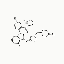 CC(=O)N1CCC(CN2CC[C@@H](Cc3cn(-c4ccc(F)cc4C(=O)N4CCC[C@H]4C)c4cncc(C)c34)C2)CC1